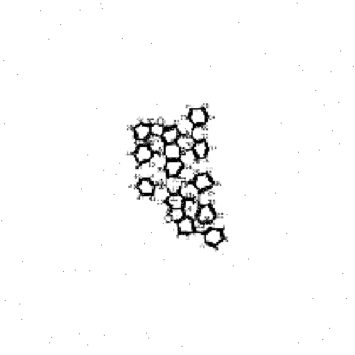 c1ccc(-c2ccc3oc4cc5c6c(c4c3c2)N(c2ccccc2)c2ccccc2B6c2cc3c(cc2N5c2ccccc2)N(c2ccccc2)c2c4c(cc5oc6ccccc6c25)N(c2ccccc2)c2ccccc2B34)cc1